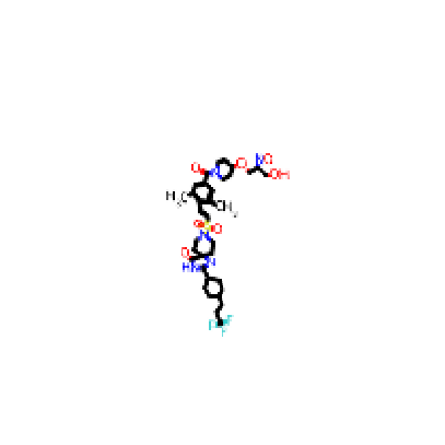 Cc1cc(C(=O)N2CCC(OCC(CO)N=O)CC2)cc(C)c1/C=C/S(=O)(=O)N1CCC2(CC1)N=C(C1CCC(CCC(F)(F)F)CC1)NC2=O